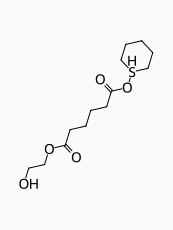 O=C(CCCCC(=O)O[SH]1CCCCC1)OCCO